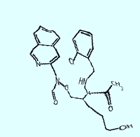 CC(=O)N(NCc1ccccc1Cl)[C@@H](CCCO)CON(C=O)c1cc2ccccc2cn1